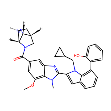 COc1cc(C(=O)N2C[C@H]3C[C@@H](C)[C@@H]2[C@@H]3N)cc2nc(-c3cc4cccc(-c5ccccc5O)c4n3CC3CC3)n(C)c12